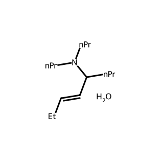 CCC=CC(CCC)N(CCC)CCC.O